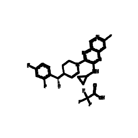 Cc1cc2nc(NC3CC3)c(N3CCC([C@H](F)c4ccc(F)cc4F)CC3)nc2cn1.O=C(O)C(F)(F)F